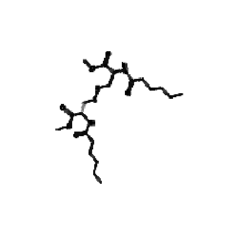 CCCCCC(=O)NC(CSSC[C@H](NC(=O)CCCCC)C(=O)OC)C(=O)OC